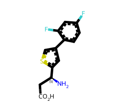 N[C@@H](CC(=O)O)c1cc(-c2ccc(F)cc2F)cs1